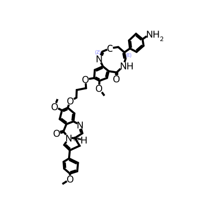 COc1ccc(C2=CN3C(=O)c4cc(OC)c(OCCCOc5cc6c(cc5OC)C(=O)N/C=C(/c5ccc(N)cc5)CC/C=N\6)cc4N=C[C@@H]3C2)cc1